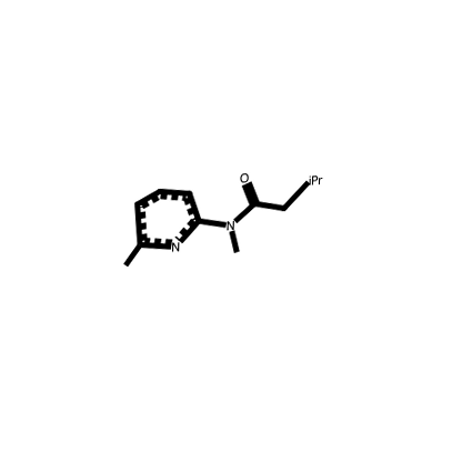 Cc1cccc(N(C)C(=O)CC(C)C)n1